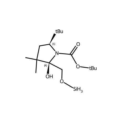 CC(C)(C)OC(=O)N1[C@H](C(C)(C)C)CC(C)(C)[C@@]1(O)CO[SiH3]